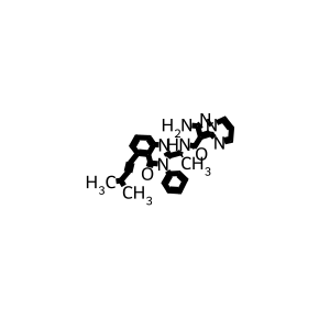 CC(C)C#Cc1cccc2nc([C@@H](C)NC(=O)c3c(N)nn4cccnc34)n(-c3ccccc3)c(=O)c12